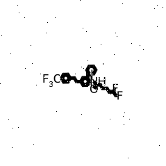 O=C(CCCC[C@@H](F)CF)Nc1ccc(CCc2ccc(C(F)(F)F)cc2)cc1N1CCCCC1